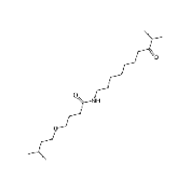 CC(C)CCOCCCC(=O)NCCCCCCCC(=O)C(C)C